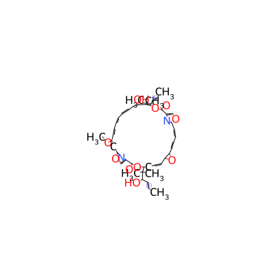 C/C=C/C(O)C(C)(C)C1CC=CC2OC2C=CC=Cc2nc(co2)C(=O)OC(/C=C/C)C(C)(C)C(O)CC=CC=CC=CC(OC)Cc2nc(co2)C(=O)O1